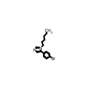 CCCCCCn1cncc1-c1ccc(Br)cc1